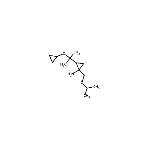 CC(C)OCC1(N)CC1C(C)(C)OC1CC1